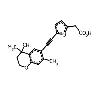 Cc1cc2c(cc1C#Cc1ccc(CC(=O)O)o1)C(C)(C)CCO2